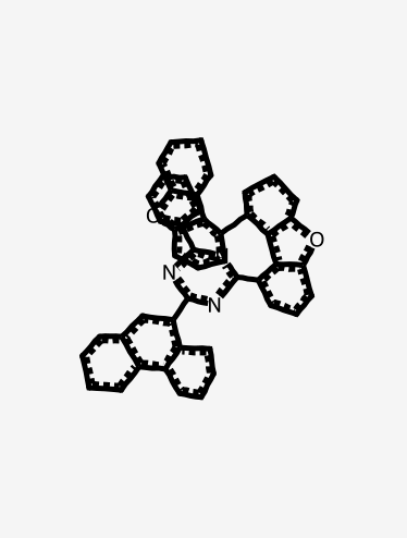 c1ccc(-c2nc(-c3cc4ccccc4c4ccccc34)nc(-c3cccc4oc5cccc(-c6cccc7oc8ccccc8c67)c5c34)n2)cc1